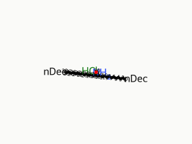 CCCCCCCCCCCCCCCCCCCCCCCC(N)CCCCCCCCCCCCCCCCCCCCCCC.Cl